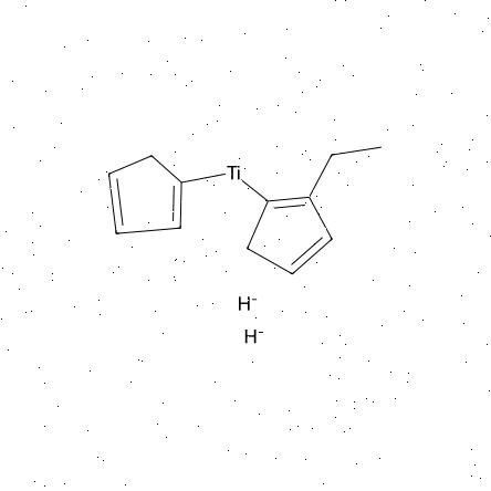 CCC1=[C]([Ti][C]2=CC=CC2)CC=C1.[H-].[H-]